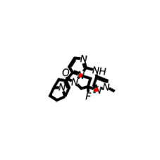 Cn1cc(Nc2nccc(C3=CC4CCC(C3)N4C(=O)N3CCC(F)(F)C3)n2)cn1